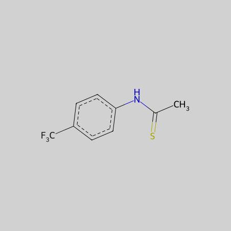 CC(=S)Nc1ccc(C(F)(F)F)cc1